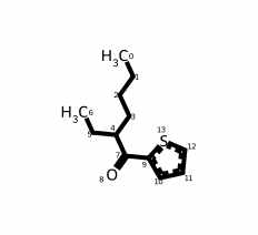 CCCCC(CC)C(=O)c1cccs1